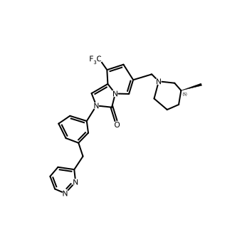 C[C@H]1CCCN(Cc2cc(C(F)(F)F)c3cn(-c4cccc(Cc5cccnn5)c4)c(=O)n3c2)C1